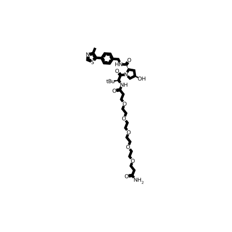 Cc1ncsc1-c1ccc(CNC(=O)[C@@H]2C[C@@H](O)CN2C(=O)[C@@H](NC(=O)CCOCCOCCOCCOCCOCCC(N)=O)C(C)(C)C)cc1